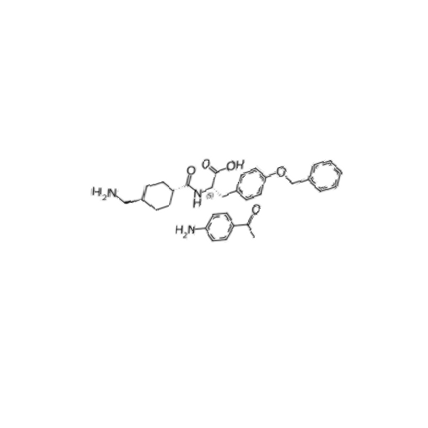 CC(=O)c1ccc(N)cc1.NC[C@H]1CC[C@H](C(=O)N[C@@H](Cc2ccc(OCc3ccccc3)cc2)C(=O)O)CC1